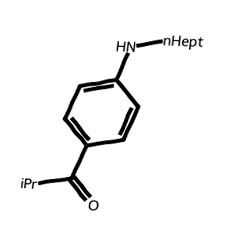 CCCCCCCNc1ccc(C(=O)C(C)C)cc1